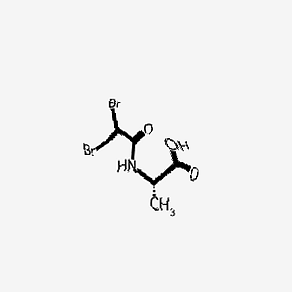 C[C@H](NC(=O)C(Br)Br)C(=O)O